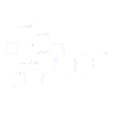 Cc1ccc(F)c(-c2cc3nc(C(=O)O)nc(NC(C)C4CCC4)c3n2Cc2ccc(C(F)(F)F)cc2)c1